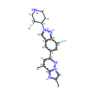 Cc1cn2nc(-c3cc(F)c4nn(C5CCNCC5F)cc4c3)cc(C)c2n1